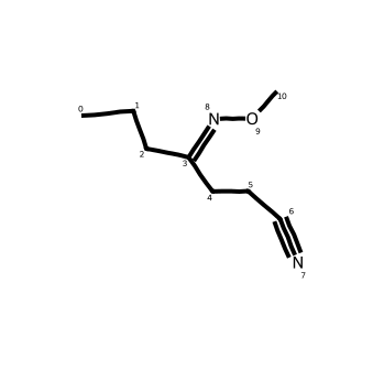 CCCC(CCC#N)=NOC